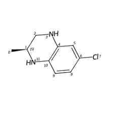 C[C@H]1CNc2cc(Cl)ccc2N1